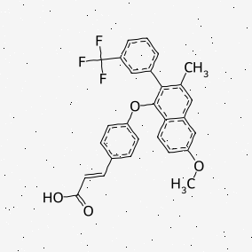 COc1ccc2c(Oc3ccc(/C=C/C(=O)O)cc3)c(-c3cccc(C(F)(F)F)c3)c(C)cc2c1